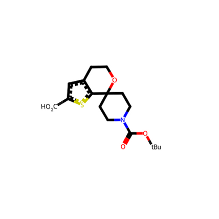 CC(C)(C)OC(=O)N1CCC2(CC1)OCCc1cc(C(=O)O)sc12